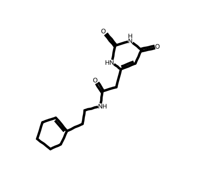 O=C(Cc1cc(=O)[nH]c(=O)[nH]1)NCCC1=CCCCC1